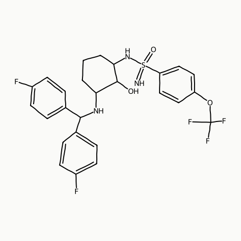 N=S(=O)(NC1CCCC(NC(c2ccc(F)cc2)c2ccc(F)cc2)C1O)c1ccc(OC(F)(F)F)cc1